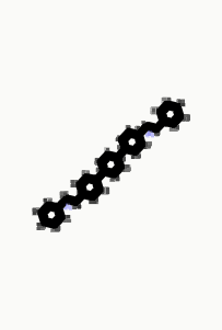 C(=C\c1ccc(-c2ccc(-c3ccc(/C=C/c4ccccc4)cc3)cc2)cc1)/c1ccccc1